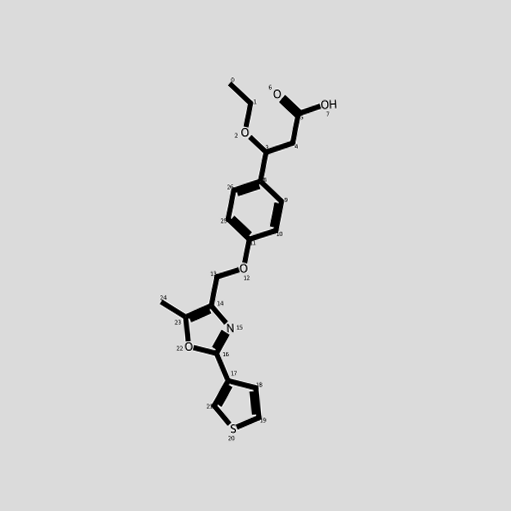 CCOC(CC(=O)O)c1ccc(OCc2nc(-c3ccsc3)oc2C)cc1